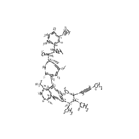 CC#CC(=O)N(C)[C@@H](C)c1nc(-c2ccc(C(=O)Nc3cc(CCC)ccn3)cc2)c2c(C)nccn12